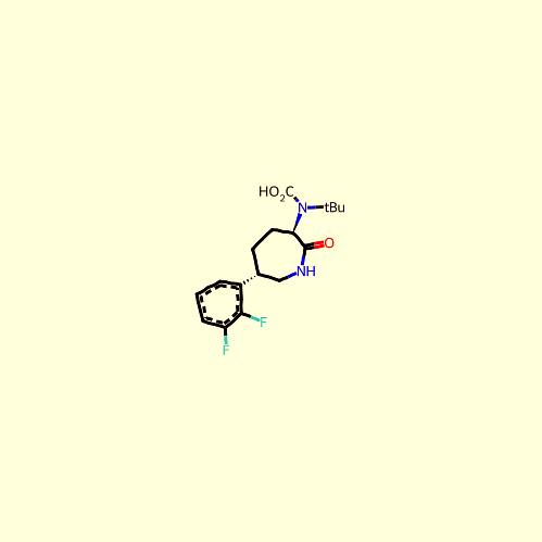 CC(C)(C)N(C(=O)O)[C@@H]1CC[C@@H](c2cccc(F)c2F)CNC1=O